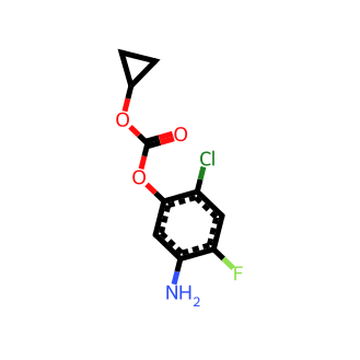 Nc1cc(OC(=O)OC2CC2)c(Cl)cc1F